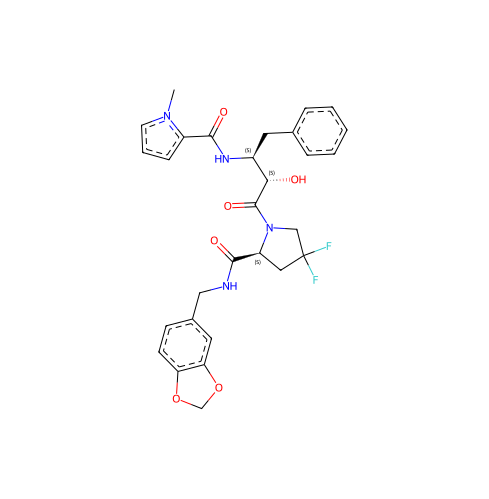 Cn1cccc1C(=O)N[C@@H](Cc1ccccc1)[C@H](O)C(=O)N1CC(F)(F)C[C@H]1C(=O)NCc1ccc2c(c1)OCO2